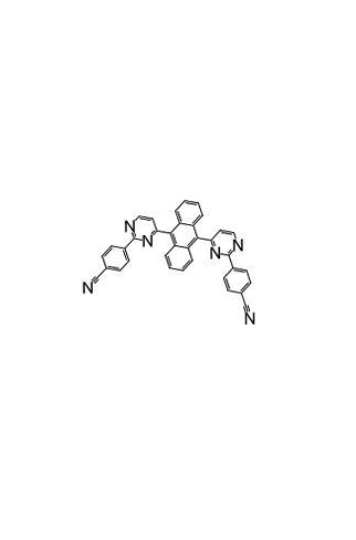 N#Cc1ccc(-c2nccc(-c3c4ccccc4c(-c4ccnc(-c5ccc(C#N)cc5)n4)c4ccccc34)n2)cc1